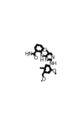 CNC(=O)c1ccccc1Nc1nc(Nc2cc(C)c(COC)cc2OC)ncc1Cl